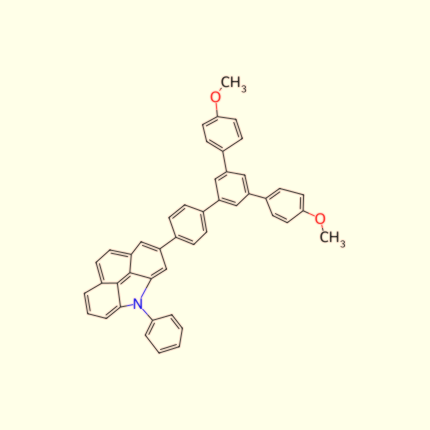 COc1ccc(-c2cc(-c3ccc(OC)cc3)cc(-c3ccc(-c4cc5ccc6cccc7c6c5c(c4)n7-c4ccccc4)cc3)c2)cc1